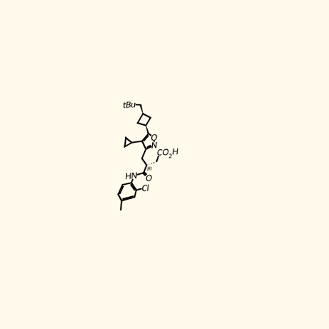 Cc1ccc(NC(=O)[C@@H](CC(=O)O)Cc2noc([C@H]3C[C@@H](CC(C)(C)C)C3)c2C2CC2)c(Cl)c1